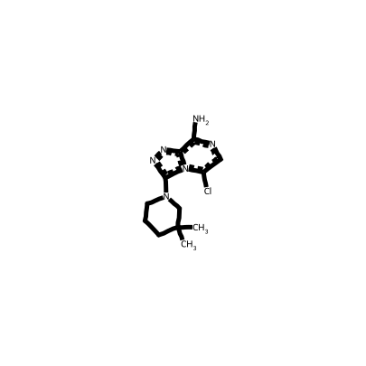 CC1(C)CCCN(c2nnc3c(N)ncc(Cl)n23)C1